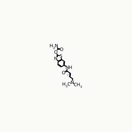 CN(C)C/C=C/C(=O)Nc1ccc2nc(OC(N)=O)sc2c1